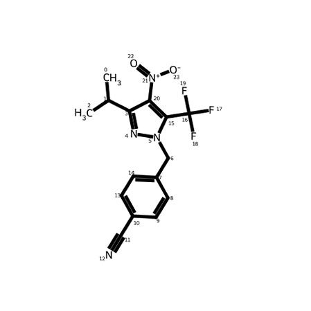 CC(C)c1nn(Cc2ccc(C#N)cc2)c(C(F)(F)F)c1[N+](=O)[O-]